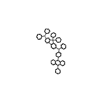 c1ccc(-c2c3ccccc3c(-c3ccc(N(c4ccccc4)c4ccc5c(c4)C(c4ccccc4)(c4ccccc4)c4cc(N(c6ccccc6)c6ccccc6)ccc4-5)cc3)c3ccccc23)cc1